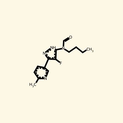 CCCCN(C=O)c1[nH]nc(-c2ccc(C)nc2)c1F